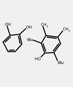 Cc1cc(C(C)(C)C)c(O)c(C(C)(C)C)c1C.Oc1ccccc1O